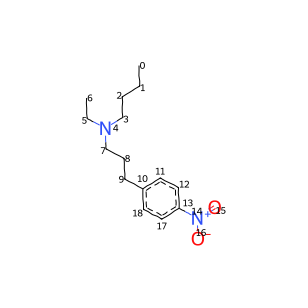 CCCCN(CC)CCCc1ccc([N+](=O)[O-])cc1